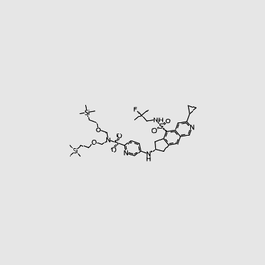 CC(C)(F)CNS(=O)(=O)c1c2c(cc3cnc(C4CC4)cc13)C[C@@H](Nc1ccc(S(=O)(=O)N(COCC[Si](C)(C)C)COCC[Si](C)(C)C)nc1)C2